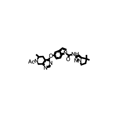 CC(=O)N1Cc2ncnc(Oc3ccc4c(ccn4C(=O)Nc4cc5n(n4)CCC5(C)C)c3)c2CC1C